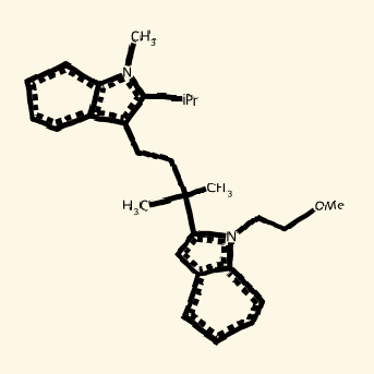 COCCn1c(C(C)(C)CCc2c(C(C)C)n(C)c3ccccc23)cc2ccccc21